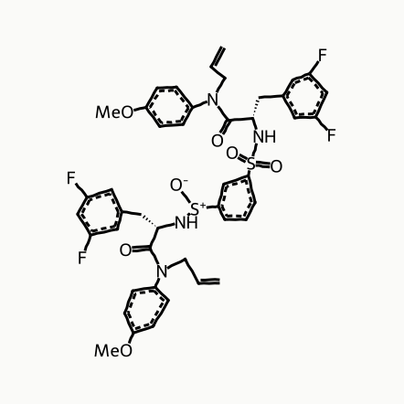 C=CCN(C(=O)[C@H](Cc1cc(F)cc(F)c1)N[S+]([O-])c1cccc(S(=O)(=O)N[C@@H](Cc2cc(F)cc(F)c2)C(=O)N(CC=C)c2ccc(OC)cc2)c1)c1ccc(OC)cc1